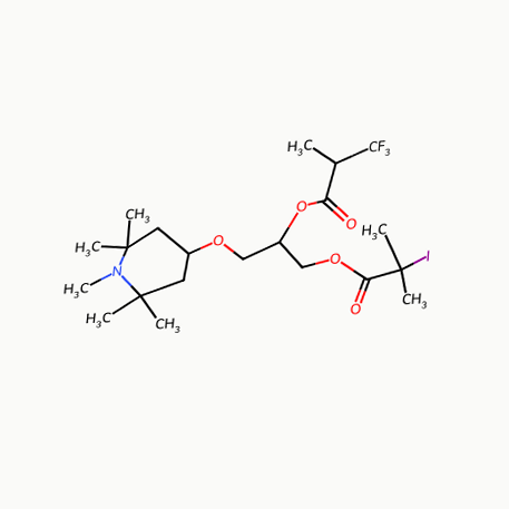 CC(C(=O)OC(COC(=O)C(C)(C)I)COC1CC(C)(C)N(C)C(C)(C)C1)C(F)(F)F